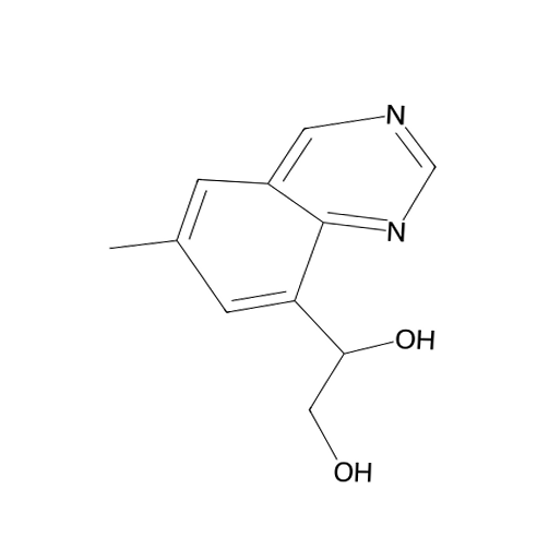 Cc1cc(C(O)CO)c2ncncc2c1